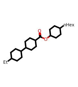 CCCCCCC1CCC(OC(=O)C2CCC(C3CCC(CC)CC3)CC2)CC1